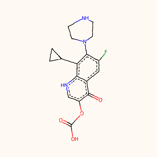 O=C(O)Oc1c[nH]c2c(C3CC3)c(N3CCNCC3)c(F)cc2c1=O